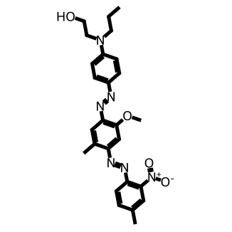 CCCN(CCO)c1ccc(N=Nc2cc(C)c(N=Nc3ccc(C)cc3[N+](=O)[O-])cc2OC)cc1